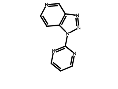 c1cnc(-n2nnc3cnccc32)nc1